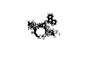 C[C@@H]1CC/C=C\[C@@H]2C[C@@]2(C(=O)NS(=O)(=O)C2(C)CC2)NC(=O)[C@@H]2C[C@@H](Oc3nc4c(c5ccccc35)CCCO4)CN2C(=O)[C@@H](NC(=O)OC(C)(C)C(F)(F)F)[C@H](C)O1